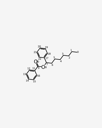 CCCCCCCC(OC(=O)c1ccccc1)c1ccccc1